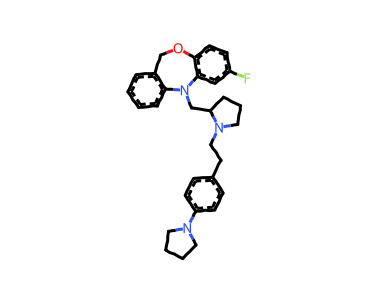 Fc1ccc2c(c1)N(CC1CCCN1CCc1ccc(N3CCCC3)cc1)c1ccccc1CO2